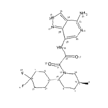 C[C@H]1CC[C@H](C2CCC(F)(F)CC2)N(C(=O)C(=O)Nc2cnc(N)c3c[nH]nc23)C1